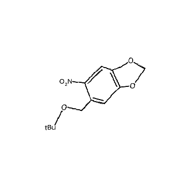 CC(C)(C)OCc1cc2c(cc1[N+](=O)[O-])OCO2